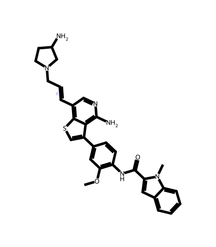 COc1cc(-c2csc3c(/C=C/CN4CCC(N)C4)cnc(N)c23)ccc1NC(=O)c1cc2ccccc2n1C